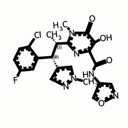 C[C@H](c1nc(C(=O)Nc2cnoc2)c(O)c(=O)n1C)[C@H](c1cnn(C)c1)c1cc(F)ccc1Cl